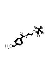 C=Cc1ccc(C(=O)OCCOC(=O)C(Br)(Br)Br)cc1